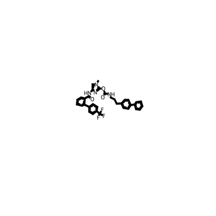 Cn1cc(NC(=O)c2ccccc2-c2ccc(C(F)(F)F)cc2)nc1OC(=O)NCCCc1ccc(-c2ccccc2)cc1